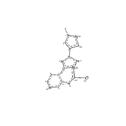 Cn1cc(-c2nc3c4ccncc4nc(Cl)n3n2)cn1